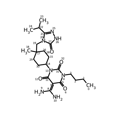 CCCCN1C(=O)C(=C(N)N)C(=O)N(C2CCC(C)(Cn3c(C(C)C)n[nH]c3=O)CC2)C1=O